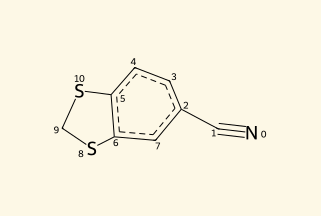 N#Cc1ccc2c(c1)SCS2